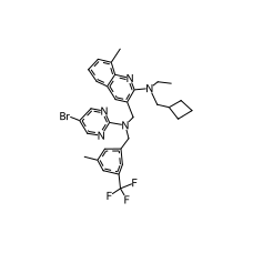 CCN(CC1CCC1)c1nc2c(C)cccc2cc1CN(Cc1cc(C)cc(C(F)(F)F)c1)c1ncc(Br)cn1